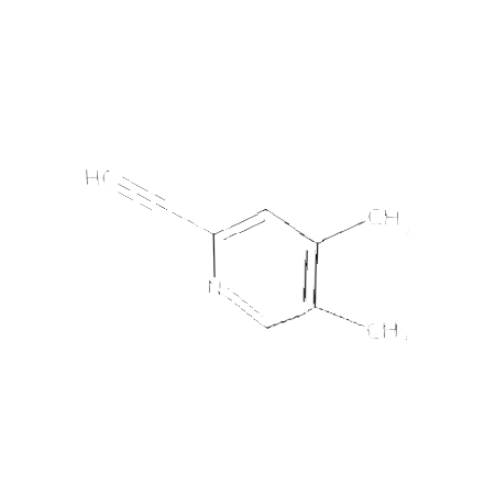 C#Cc1cc(C)c(C)cn1